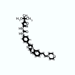 CC(C)(C)c1cc(NC(=O)Nc2ccc(-c3cn4c(n3)sc3ccc(CCN5CCOCC5)cc34)cc2)no1